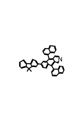 CC1(C)c2ccccc2-c2ccc(-c3ccc4c(-c5cccc6ccccc56)c5cnccc5c(-c5cccc6ccccc56)c4c3)cc21